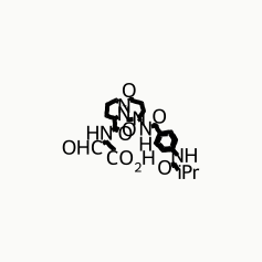 CC(C)C(=O)Nc1ccc(C(=O)NN2CCC(=O)N3CCCC(C(=O)NC(C=O)CC(=O)O)N3C2=O)cc1